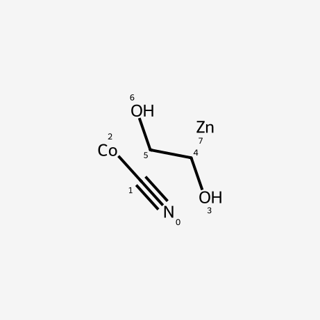 N#[C][Co].OCCO.[Zn]